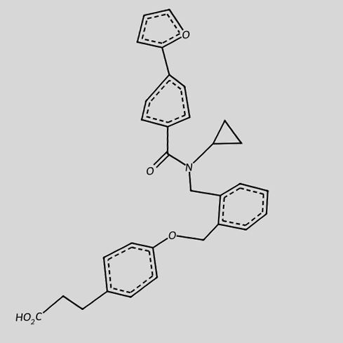 O=C(O)CCc1ccc(OCc2ccccc2CN(C(=O)c2ccc(-c3ccco3)cc2)C2CC2)cc1